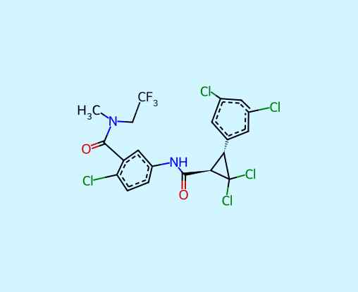 CN(CC(F)(F)F)C(=O)c1cc(NC(=O)[C@H]2[C@H](c3cc(Cl)cc(Cl)c3)C2(Cl)Cl)ccc1Cl